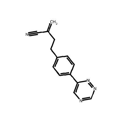 C=C(C#N)CCc1ccc(-c2cncnn2)cc1